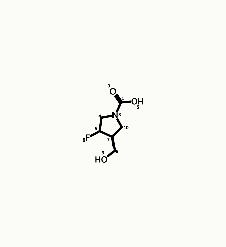 O=C(O)N1CC(F)C(CO)C1